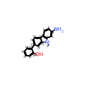 Cn1c2cc(N)ccc2c2ccc(-c3ccccc3O)cc21